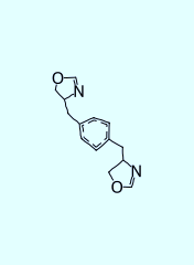 C1=NC(Cc2ccc(CC3COC=N3)cc2)CO1